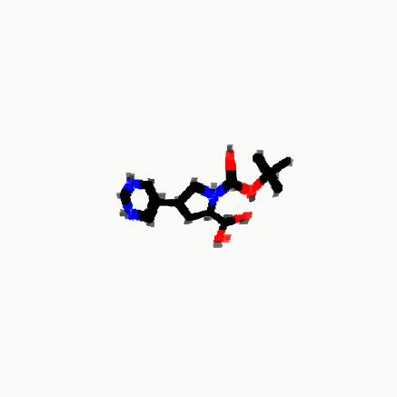 CC(C)(C)OC(=O)N1CC(c2cncnc2)C[C@@H]1C(=O)O